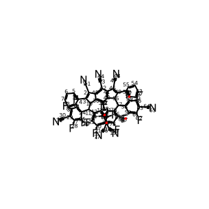 N#CC1=C(c2ccccc2)C(C(c2c(F)c(F)c(C#N)c(F)c2F)c2c(F)c(F)c(C#N)c(F)c2F)c2c(C#N)c3c(c(C#N)c21)C(C#N)=C(c1ccccc1)C3C(c1c(F)c(F)c(C#N)c(F)c1F)c1c(F)c(F)c(C#N)c(F)c1F